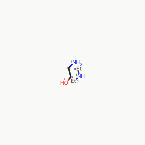 CCNCC.NCCO